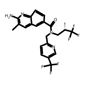 Cc1cc2cc(C(=O)N(Cc3ccc(C(F)(F)F)cn3)C[C@H](C)C(F)(F)F)ccc2nc1N